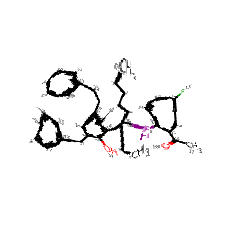 CCCCCC(CC)(Pc1ccc(F)cc1C(C)=O)c1cc(Cc2ccccc2)cc(Cc2ccccc2)c1O